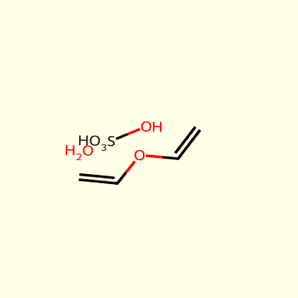 C=COC=C.O.O=S(=O)(O)O